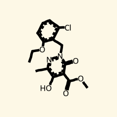 CCOc1cccc(Cl)c1Cn1nc(C)c(O)c(C(=O)OC)c1=O